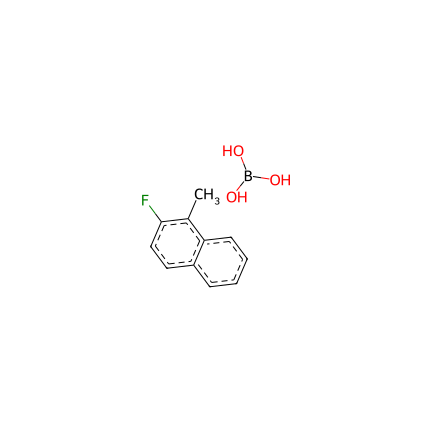 Cc1c(F)ccc2ccccc12.OB(O)O